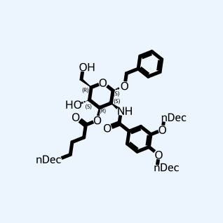 CCCCCCCCCCCCCC(=O)O[C@H]1[C@H](O)[C@@H](CO)O[C@H](OCc2ccccc2)[C@H]1NC(=O)c1ccc(OCCCCCCCCCC)c(OCCCCCCCCCC)c1